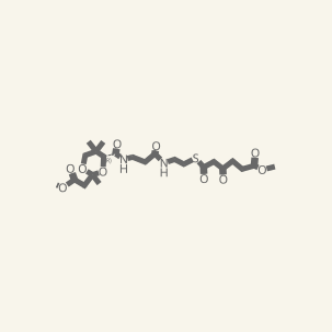 COC(=O)CCC(=O)CC(=O)SCCNC(=O)CCNC(=O)[C@@H]1OC(C)(CC(=O)OC)OCC1(C)C